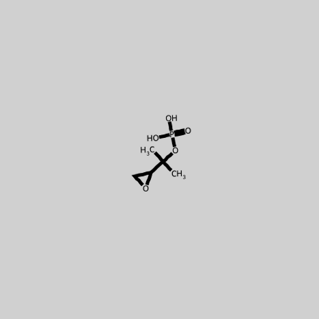 CC(C)(OP(=O)(O)O)C1CO1